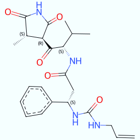 C=CCNC(=O)N[C@@H](CC(=O)N[C@H](C(=O)[C@@H]1C(=O)NC(=O)[C@H]1C)C(C)C)c1ccccc1